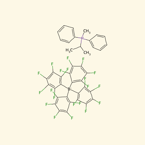 CC(C)[I+](C)(c1ccccc1)c1ccccc1.Fc1c(F)c(F)c([B-](c2c(F)c(F)c(F)c(F)c2F)(c2c(F)c(F)c(F)c(F)c2F)c2c(F)c(F)c(F)c(F)c2F)c(F)c1F